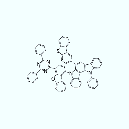 c1ccc(-c2nc(-c3ccccc3)nc(-c3ccc(-n4c5ccccc5c5c4c(-c4ccc6sc7ccccc7c6c4)cc4c6ccccc6n(-c6ccccc6)c45)c4c3oc3ccccc34)n2)cc1